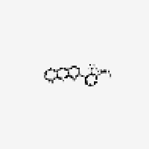 Nc1cccc(-c2ccc3cc4cccnc4nc3n2)c1N